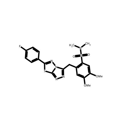 COc1cc(Cc2nnc3sc(-c4ccc(F)cc4)nn23)c(S(=O)(=O)N(C)C)cc1OC